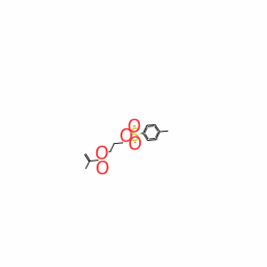 C=C(C)C(=O)OCCCOS(=O)(=O)c1ccc(C)cc1